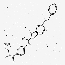 CC(C)C(Nc1ccc(C(=O)N(C)CCC(=O)O)nc1)C1Oc2ccc(OCc3ccccc3)cc2C1C